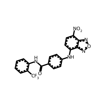 O=C(Nc1ccccc1C(F)(F)F)c1ccc(Nc2ccc([N+](=O)[O-])c3nonc23)cc1